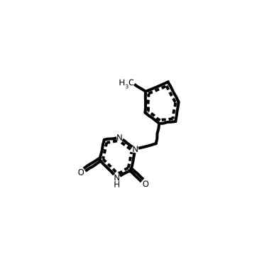 Cc1cccc(Cn2ncc(=O)[nH]c2=O)c1